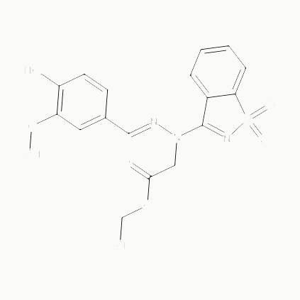 CCOC(=O)CN(N=Cc1ccc(O)c(OC)c1)C1=NS(=O)(=O)c2ccccc21